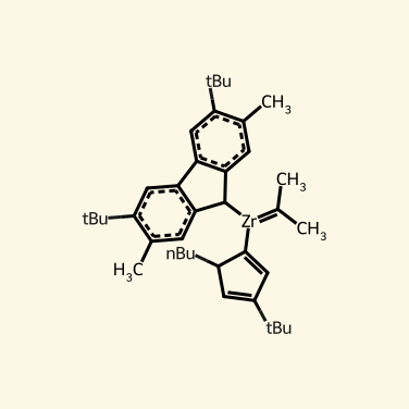 CCCCC1C=C(C(C)(C)C)C=[C]1[Zr](=[C](C)C)[CH]1c2cc(C)c(C(C)(C)C)cc2-c2cc(C(C)(C)C)c(C)cc21